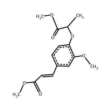 COC(=O)/C=C/c1ccc(OC(C)C(=O)OC)c(OC)c1